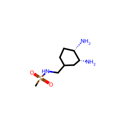 CS(=O)(=O)NCC1CC[C@H](N)[C@H](N)C1